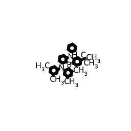 Cc1cc(C)cc(N2c3cc(C)cc(C)c3B3c4ccc(C(C)(C)C)cc4N(c4ccccc4)c4cccc2c43)c1